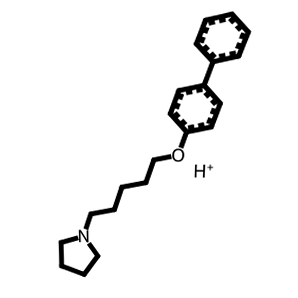 [H+].c1ccc(-c2ccc(OCCCCCN3CCCC3)cc2)cc1